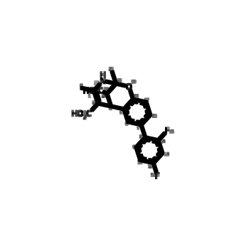 CC1=C(C(=O)O)C2c3cc(-c4ccc(F)cc4F)ccc3OC(C)(N1)C2C(=O)O